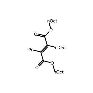 CCCCCCCCCCC(C(=O)OCCCCCCCC)=C(C(=O)OCCCCCCCC)C(C)C